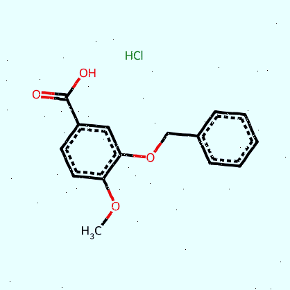 COc1ccc(C(=O)O)cc1OCc1ccccc1.Cl